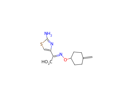 C=C1CCC(O/N=C(\C(=O)O)c2csc(N)n2)CC1